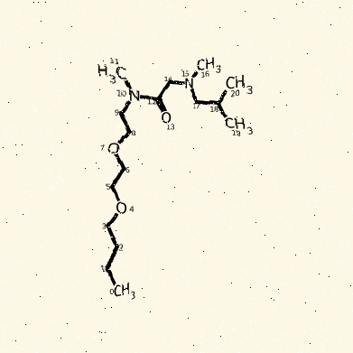 CCCCOCCOCCN(C)C(=O)CN(C)CC(C)C